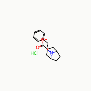 Cl.O=C(O)C1CC2CCC(C1)N2CCc1ccccc1